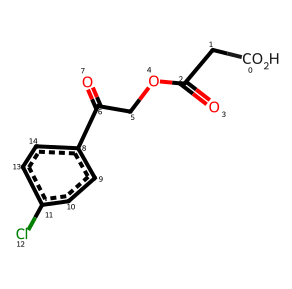 O=C(O)CC(=O)OCC(=O)c1ccc(Cl)cc1